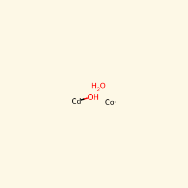 O.[Co].[OH][Cd]